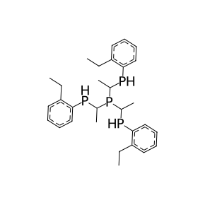 CCc1ccccc1PC(C)P(C(C)Pc1ccccc1CC)C(C)Pc1ccccc1CC